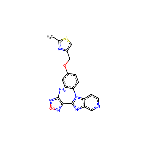 Cc1nc(COc2ccc(-n3c(-c4nonc4N)nc4cnccc43)cc2)cs1